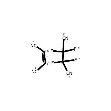 N#C/C=C\C#N.N#CC(F)(F)C(F)(F)C#N